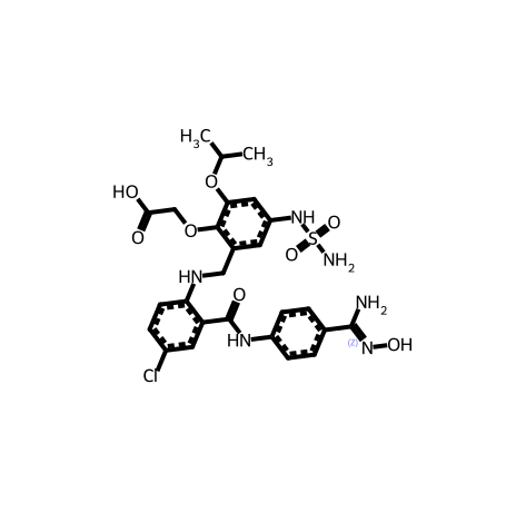 CC(C)Oc1cc(NS(N)(=O)=O)cc(CNc2ccc(Cl)cc2C(=O)Nc2ccc(/C(N)=N/O)cc2)c1OCC(=O)O